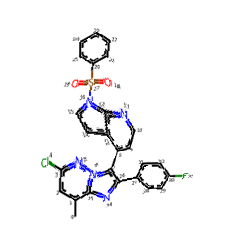 Cc1cc(Cl)nn2c(-c3ccnc4c3ccn4S(=O)(=O)c3ccccc3)c(-c3ccc(F)cc3)nc12